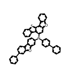 c1ccc(-c2ccc(N(c3ccc4c(c3)oc3cc(-c5ccccc5)ccc34)c3cc4oc5ccccc5c4c4sc5ccccc5c34)cc2)cc1